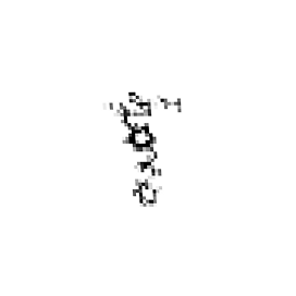 CCCCCC(=O)NC(C)Cc1ccc(OC(=O)CN2CCOCC2)cc1